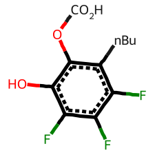 CCCCc1c(F)c(F)c(F)c(O)c1OC(=O)O